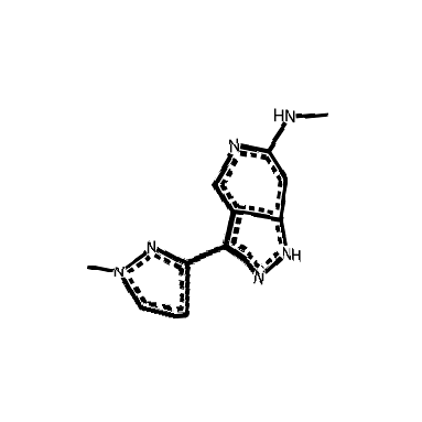 CNc1cc2[nH]nc(-c3ccn(C)n3)c2cn1